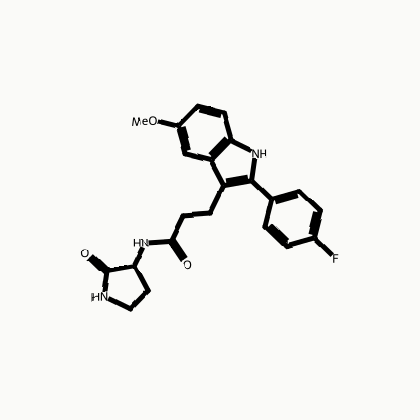 COc1ccc2[nH]c(-c3ccc(F)cc3)c(CCC(=O)NC3CCNC3=O)c2c1